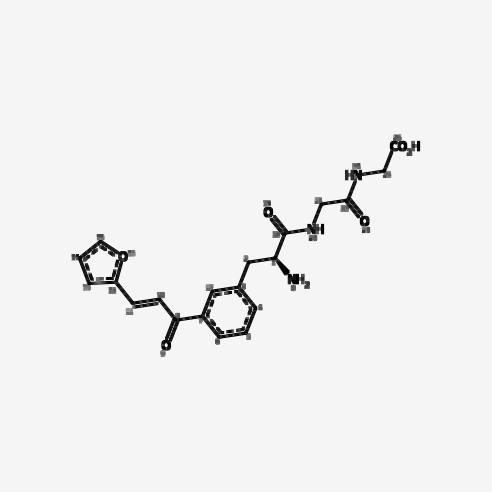 N[C@@H](Cc1cccc(C(=O)C=Cc2ccco2)c1)C(=O)NCC(=O)NCC(=O)O